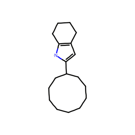 C1=C(C2CCCCCCCCC2)[N]C2=C1CCCC2